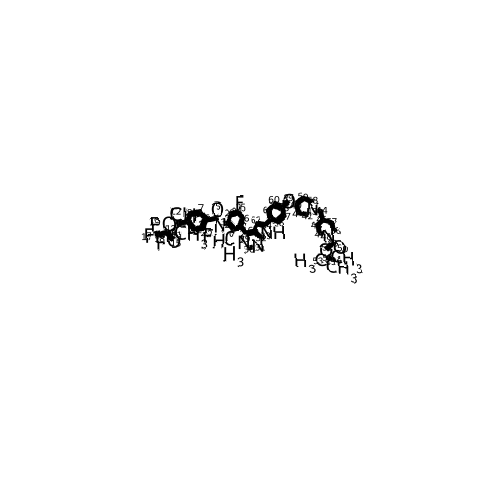 Cc1c(NC(=O)c2ccc(C(C)(C)OC(=O)C(F)(F)F)cc2F)cc(F)cc1-c1ncnc2[nH]c(-c3ccc(OC4CCN(CC5CCN(C(=O)OC(C)(C)C)CC5)CC4)cc3)cc12